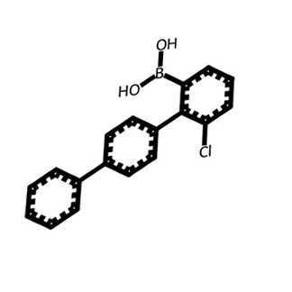 OB(O)c1cccc(Cl)c1-c1ccc(-c2ccccc2)cc1